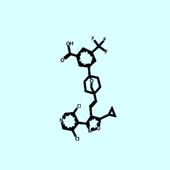 O=C(O)c1cc(C(F)(F)F)cc(C23CCC(C=Cc4c(-c5c(Cl)cncc5Cl)noc4C4CC4)(CC2)CO3)c1